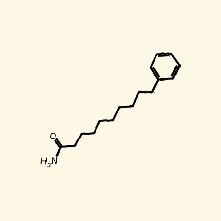 NC(=O)CCCCCCCC[CH]c1ccccc1